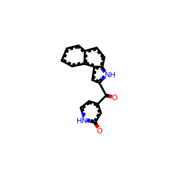 O=C(c1cc[nH]c(=O)c1)c1cc2c(ccc3ccccc32)[nH]1